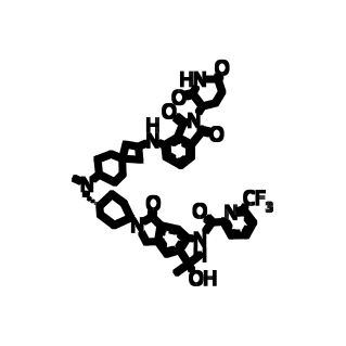 CN(C[C@H]1CC[C@H](N2Cc3cc(C(C)(C)O)c(NC(=O)c4cccc(C(F)(F)F)n4)cc3C2=O)CC1)C1CCC2(CC1)CC(Nc1cccc3c1C(=O)N(C1CCC(=O)NC1=O)C3=O)C2